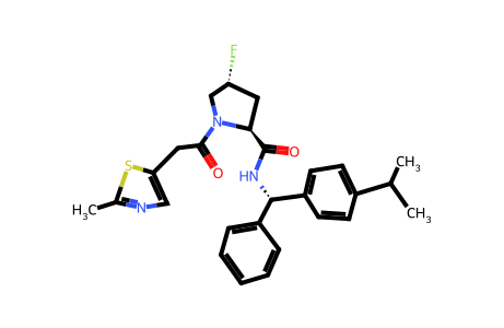 Cc1ncc(CC(=O)N2C[C@H](F)C[C@H]2C(=O)N[C@@H](c2ccccc2)c2ccc(C(C)C)cc2)s1